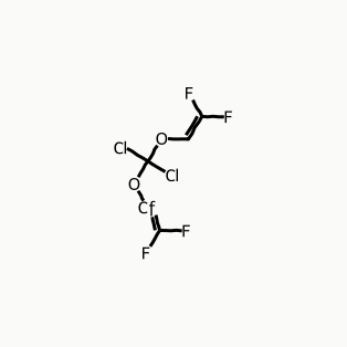 FC(F)=COC(Cl)(Cl)[O][Cf]=[C](F)F